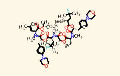 CN[C@@H](CC(C)(C)F)C(=O)O[C@H](Cc1ccc(N2CCOCC2)cc1)C(=O)N(C)[C@@H](CC(C)C)C(=O)O[C@H](C)C(=O)N(C)[C@@H](CC(C)(C)F)C(=O)O[C@H](Cc1ccc(N2CCOCC2)cc1)C(=O)N(C)[C@@H](C=C(C)C)C(=O)O[C@H](C)C(=O)O